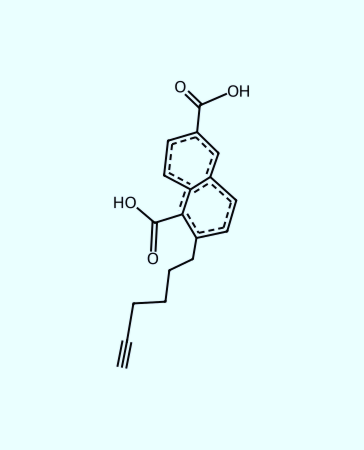 C#CCCCCc1ccc2cc(C(=O)O)ccc2c1C(=O)O